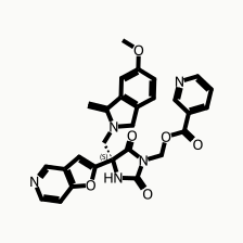 C=C1c2cc(OC)ccc2CN1C[C@@]1(c2cc3cnccc3o2)NC(=O)N(COC(=O)c2cccnc2)C1=O